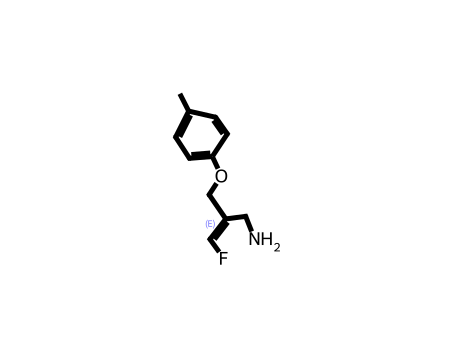 Cc1ccc(OC/C(=C/F)CN)cc1